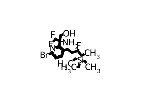 CC[Si](CC)(CC)C(C)C(F)CCc1ccc(Br)nc1[C@](N)(CO)C(F)F